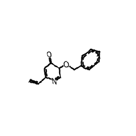 C=CC1=CC(=O)C(OCc2ccccc2)C=N1